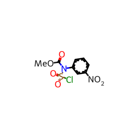 COC(=O)N(c1cccc([N+](=O)[O-])c1)S(=O)(=O)Cl